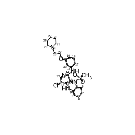 CS(=O)(=O)Nc1ccccc1Nc1nc(Nc2cccc(OCCN3CCCCC3)c2)ncc1Cl